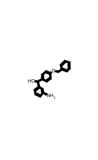 Nc1cccc(C(O)c2ccc(OCc3ccccc3)cc2)c1